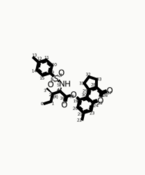 CC[C@@H](C)[C@H](NS(=O)(=O)c1ccc(C)cc1)C(=O)Oc1cc(C)cc2oc(=O)c3c(c12)CCC3